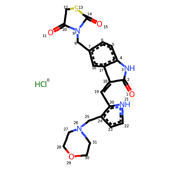 Cl.O=C1Nc2ccc(CN3C(=O)CSC3=O)cc2C1=Cc1[nH]ccc1CN1CCOCC1